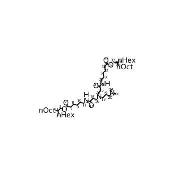 CCCCCCCCC(CCCCCC)COC(=O)CCCCCNC(=O)CCN(CCCN(C)C)CCC(=O)NCCCCCC(=O)OCC(CCCCCC)CCCCCCCC